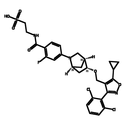 O=C(NCCS(=O)(=O)O)c1ccc(N2C[C@@H]3C[C@H]2C[C@H]3OCc2c(-c3c(Cl)cccc3Cl)noc2C2CC2)cc1F